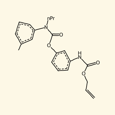 C=CCOC(=O)Nc1cccc(OC(=O)N(CCC)c2cccc(C)c2)c1